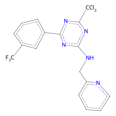 FC(F)(F)c1cccc(-c2nc(NCc3ccccn3)nc(C(Cl)(Cl)Cl)n2)c1